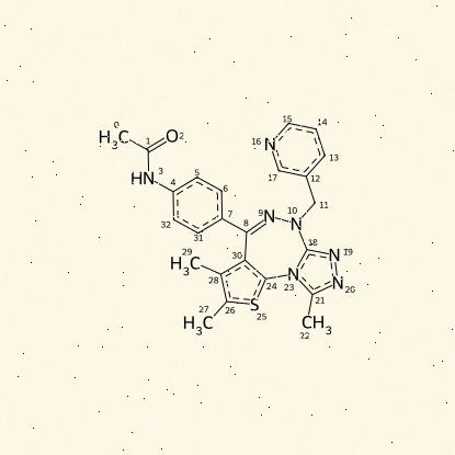 CC(=O)Nc1ccc(C2=NN(Cc3cccnc3)c3nnc(C)n3-c3sc(C)c(C)c32)cc1